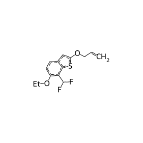 C=CCOc1cc2ccc(OCC)c(C(F)F)c2s1